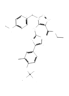 CCOC(=O)c1nnn(Cc2ccc(OC)cc2)c1Nc1nc(-c2ccc(OC(F)(F)F)c(Cl)c2)cs1